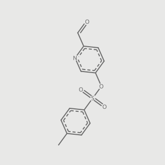 Cc1ccc(S(=O)(=O)Oc2ccc(C=O)nc2)cc1